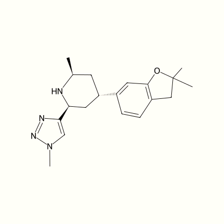 C[C@H]1C[C@H](c2ccc3c(c2)OC(C)(C)C3)C[C@@H](c2cn(C)nn2)N1